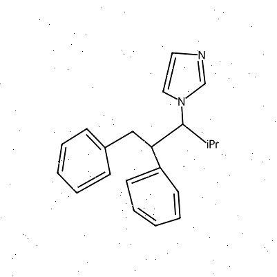 CC(C)C(C(Cc1ccccc1)c1ccccc1)n1ccnc1